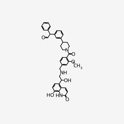 COc1cc(CNCC(O)c2ccc(O)c3[nH]c(=O)ccc23)ccc1C(=O)N1CCC(c2cccc(C(C=O)c3ccccc3)c2)CC1